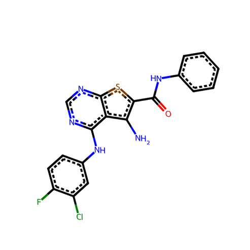 Nc1c(C(=O)Nc2ccccc2)sc2ncnc(Nc3ccc(F)c(Cl)c3)c12